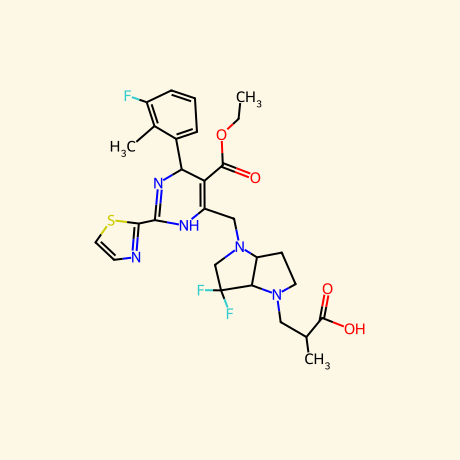 CCOC(=O)C1=C(CN2CC(F)(F)C3C2CCN3CC(C)C(=O)O)NC(c2nccs2)=NC1c1cccc(F)c1C